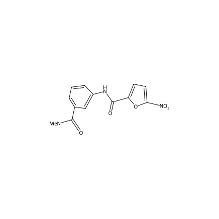 CNC(=O)c1cccc(NC(=O)c2ccc([N+](=O)[O-])o2)c1